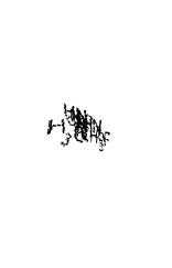 CN(C)c1nc(N[C@H]2CC[C@@H](CNCc3cccc(F)c3)CC2)nc2ccccc12